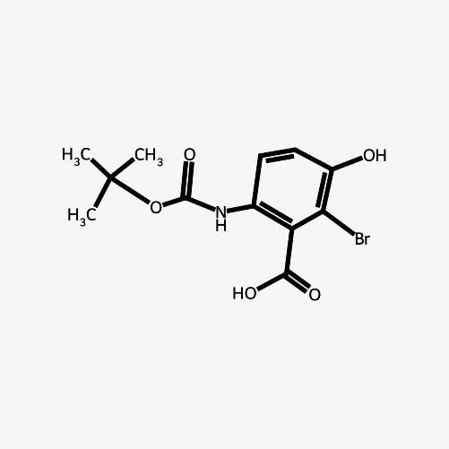 CC(C)(C)OC(=O)Nc1ccc(O)c(Br)c1C(=O)O